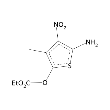 CCOC(=O)Oc1sc(N)c([N+](=O)[O-])c1C